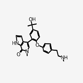 CNCCc1ccc(Oc2ccc(C(C)(C)O)cc2-c2cn(C)c(=O)c3[nH]ccc23)cc1